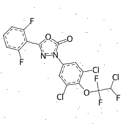 O=c1oc(-c2c(F)cccc2F)nn1-c1cc(Cl)c(OC(F)(F)C(F)Cl)c(Cl)c1